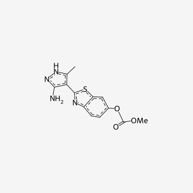 COC(=O)Oc1ccc2nc(-c3c(N)n[nH]c3C)sc2c1